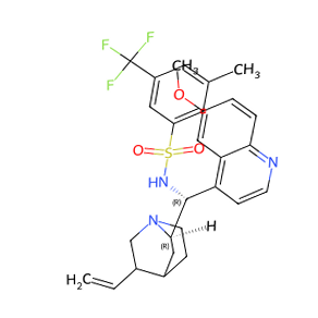 C=CC1CN2CCC1C[C@@H]2[C@H](NS(=O)(=O)c1cc(C)cc(C(F)(F)F)c1)c1ccnc2ccc(OC)cc12